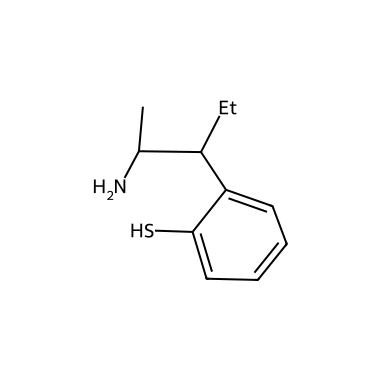 CCC(c1ccccc1S)C(C)N